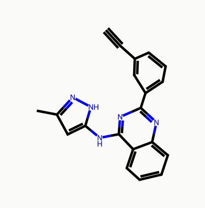 C#Cc1cccc(-c2nc(Nc3cc(C)n[nH]3)c3ccccc3n2)c1